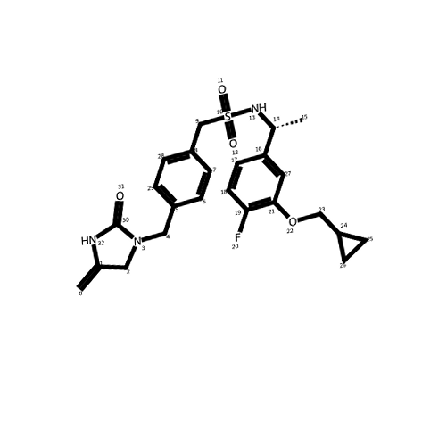 C=C1CN(Cc2ccc(CS(=O)(=O)N[C@H](C)c3ccc(F)c(OCC4CC4)c3)cc2)C(=O)N1